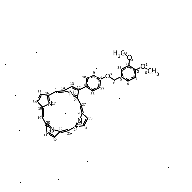 COc1ccc(COc2ccc(C3=CC4=CC5=NC(=CC6=NC(=CC7=NC(=CC3=N4)C=C7)C=C6)C=C5)cc2)cc1OC